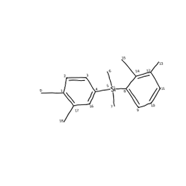 Cc1ccc([Si](C)(C)c2cccc(C)c2C)cc1C